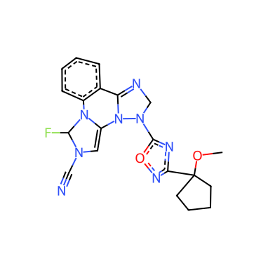 COC1(c2noc(N3CN=C4c5ccccc5N5C(=CN(C#N)C5F)N43)n2)CCCC1